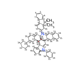 CC1(C)c2ccccc2-c2ccc(N(c3ccc4cc(C5CCCCC5)ccc4c3)c3cc4ccccc4cc3-c3ccc4c5ccccc5n(-c5ccccc5)c4c3)cc21